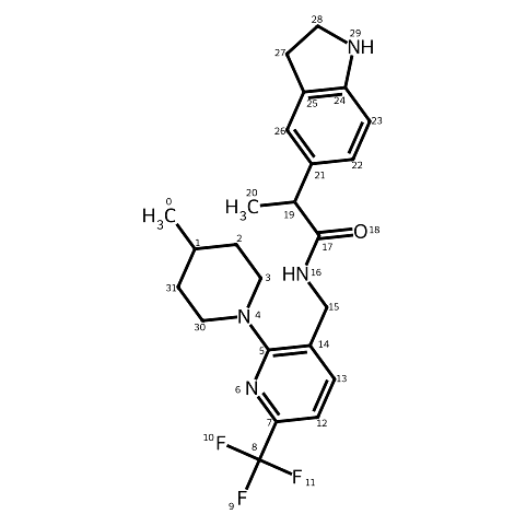 CC1CCN(c2nc(C(F)(F)F)ccc2CNC(=O)C(C)c2ccc3c(c2)CCN3)CC1